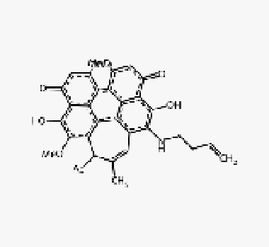 C=CCCNc1c(O)c2c(=O)cc(OC)c3c4c(OC)cc(=O)c5c(O)c(OC)c6c(c(c1C=C(C)C6C(C)=O)c23)c54